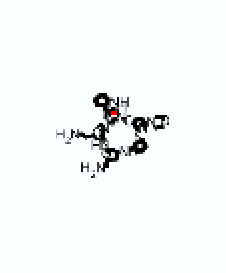 CN1C(=O)[C@H](CCCCN)NC(=O)C(CCCN)NCc2ccccc2Sc2nc(N3CCOCC3)ccc2CNC(=O)[C@@H]1Cc1c[nH]c2ccccc12